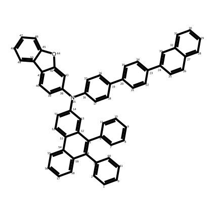 c1ccc(-c2c(-c3ccccc3)c3cc(N(c4ccc(-c5ccc(-c6ccc7ccccc7c6)cc5)cc4)c4ccc5c(c4)oc4ccccc45)ccc3c3ccccc23)cc1